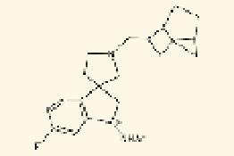 CC(=O)N[C@H]1CC2(CCN(CC3CC45CC4CCC35)C2)c2ccc(F)cc21